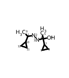 CC(N=NC(C)(O)C1CC1)C1CC1